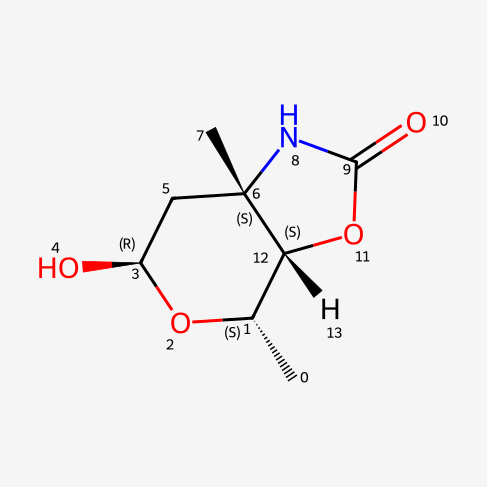 C[C@@H]1O[C@@H](O)C[C@]2(C)NC(=O)O[C@H]12